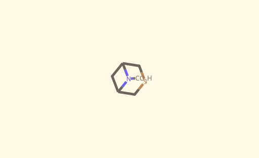 O=C(O)N1C2CSCC1C2